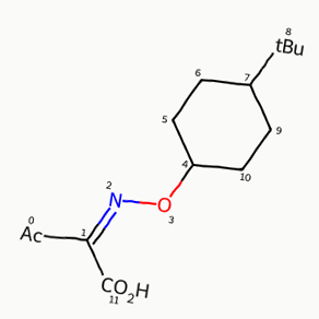 CC(=O)/C(=N/OC1CCC(C(C)(C)C)CC1)C(=O)O